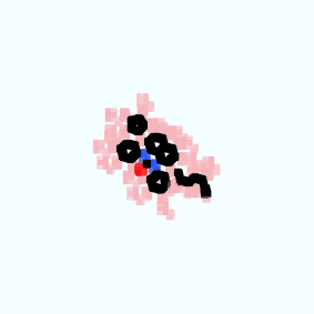 BC1=C(B)C(B2c3c(B)c(B)c(B)c(B)c3N3C(=O)N4c5c(B)c(B)c(B)c(B)c5B(C/C(B)=C(B)\C(B)=C(\B)C#C)c5c(B)c(B)c6c(B)c(B)c2c3c6c54)C(B)=C1B